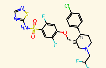 O=S(=O)(Nc1ncns1)c1cc(F)c(OC[C@H]2CN(CC(F)F)CC[C@@H]2c2ccc(Cl)cc2)cc1F